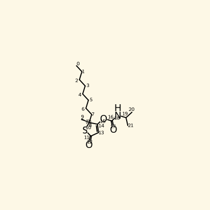 CCCCCCCC[C@@]1(C)SC(=O)C=C1OC(=O)NC(C)C